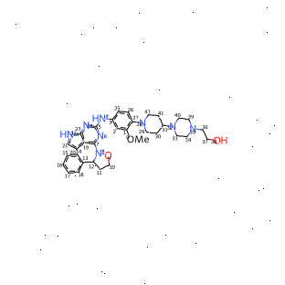 COc1cc(Nc2nc(N3OCCC3c3ccccc3)c3cc[nH]c3n2)ccc1N1CCC(N2CCN(CCO)CC2)CC1